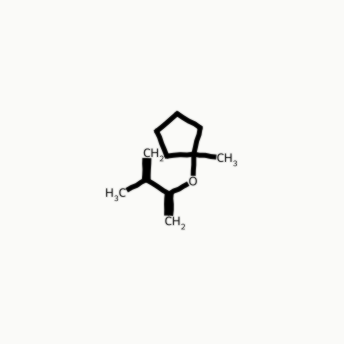 C=C(C)C(=C)OC1(C)CCCC1